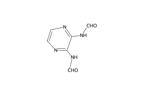 O=CNc1nccnc1NC=O